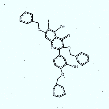 O=c1c(OCc2ccccc2)c(-c2ccc(OCc3ccccc3)c(O)c2)oc2cc(OCc3ccccc3)c(I)c(O)c12